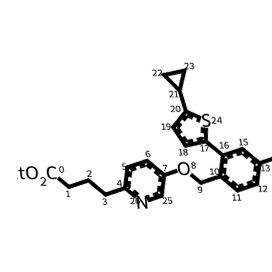 CCOC(=O)CCCc1ccc(OCc2ccc(F)cc2-c2ccc(C3CC3)s2)cn1